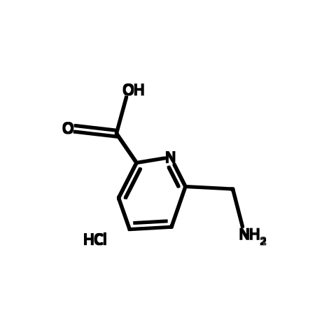 Cl.NCc1cccc(C(=O)O)n1